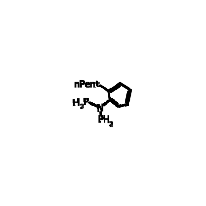 CCCCCc1ccccc1N(P)P